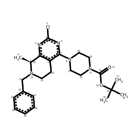 C[C@H]1c2nc(Cl)nc(N3CCN(C(=O)OC(C)(C)C)CC3)c2CCN1Cc1ccccc1